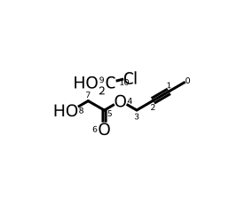 CC#CCOC(=O)CO.O=C(O)Cl